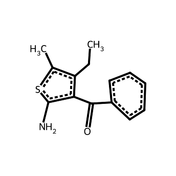 CCc1c(C)sc(N)c1C(=O)c1ccccc1